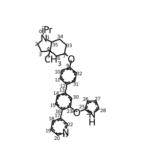 CC(C)N1CCC2(C)CC(Oc3ccc(-c4ccc(-c5cccnc5)c(Oc5ccc[nH]5)c4)cc3)CCC12